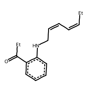 CC/C=C\C=C/CNc1ccccc1C(=O)CC